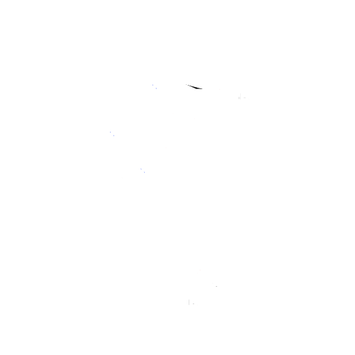 CCCCOC(=O)[C@@H]1CCCN1S(=O)(=O)c1ncc(C)nc1O[C@H](C)CCCCO[Si](C)(C)C(C)(C)C